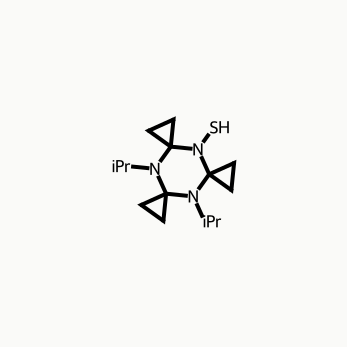 CC(C)N1C2(CC2)N(S)C2(CC2)N(C(C)C)C12CC2